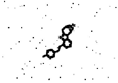 CC(=O)N1C2CCC1c1c([nH]c3c(/C=C/c4ccc(C)nc4)cccc13)C2